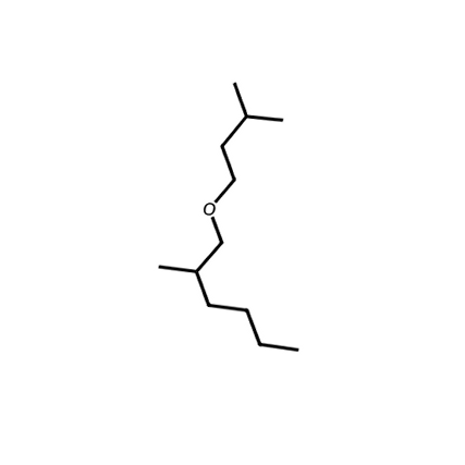 CCCCC(C)COCCC(C)C